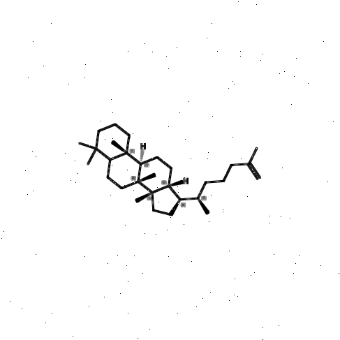 C=C(C)CCC[C@@H](C)[C@H]1CC[C@@]2(C)[C@@H]1CC[C@@H]1[C@@]3(C)CCCC(C)(C)C3CC[C@]12C